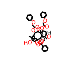 CC(=O)O[C@@]12CO[C@@H]1C[C@H](OC(=O)COc1ccccc1)[C@@]1(C)C(=O)[C@H](OC(=O)COc3ccccc3)C3=C(C)[C@@H](O)C[C@@](O)([C@@H](OC(=O)c4ccccc4)[C@H]21)C3(C)C